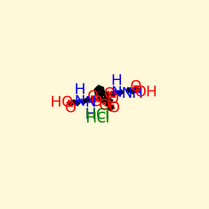 CC(=O)c1cc2c(OC(=O)NCCNCCC(=O)O)c3ccccc3c(OC(=O)NCCNCCC(=O)O)c2o1.Cl.Cl